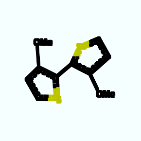 COc1ccsc1-c1sccc1OC